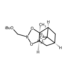 CC(C)COCB1O[C@@H]2C[C@@H]3C[C@@H](C3(C)C)[C@]2(C)O1